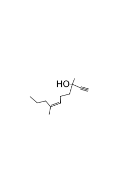 C#CC(C)(O)CCC=C(C)CCC